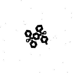 Cc1ccc(P(=O)(c2ccccc2)c2ccc(P(=O)(c3ccccc3)c3ccccc3)cc2)cc1